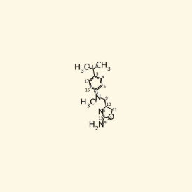 CC(C)c1ccc(N(C)C[C@H]2COC(N)=N2)cc1